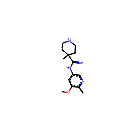 COc1cc(NC(=N)C2(C)CCNCC2)cnc1C